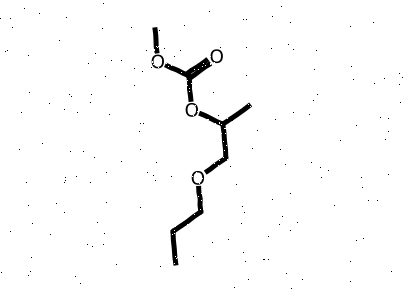 CCCOCC(C)OC(=O)OC